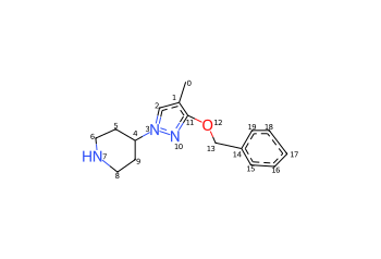 Cc1cn(C2CCNCC2)nc1OCc1ccccc1